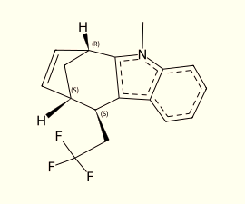 Cn1c2c(c3ccccc31)[C@@H](CC(F)(F)F)[C@@H]1C=C[C@H]2C1